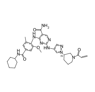 C=CC(=O)N1CCC[C@H](n2cc(Nc3ncc(C(N)=O)c(Nc4c(C)cc(C(=O)NC5CCCCC5)cc4OC)n3)cn2)C1